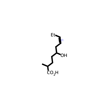 CC/C=C\CC(O)CCC(C)C(=O)O